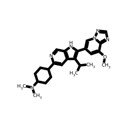 COc1cc(-c2[nH]c3cnc(C4CCC(N(C)C)CC4)cc3c2C(C)C)cn2ncnc12